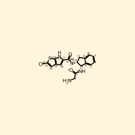 NCC(=O)N[C@H]1c2ccccc2C[C@H]1NC(=O)c1cc2cc(Cl)sc2[nH]1